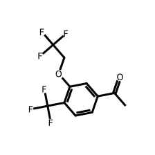 CC(=O)c1ccc(C(F)(F)F)c(OCC(F)(F)F)c1